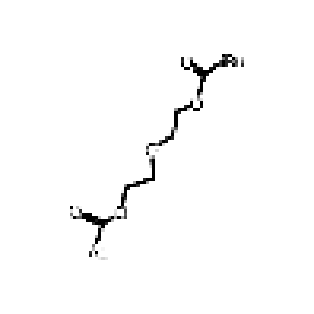 CCC(C)C(=O)OCCOCCOC(=O)C(C)=O